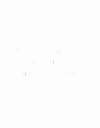 C(COCC1CO1)OCC1CO1.Cc1c(C(=O)O)cccc1C(=O)O